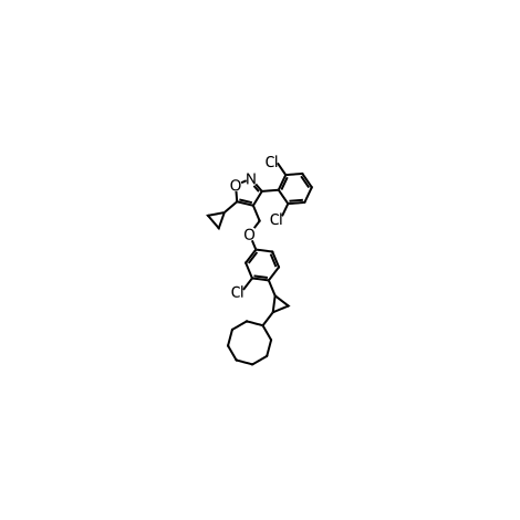 Clc1cc(OCc2c(-c3c(Cl)cccc3Cl)noc2C2CC2)ccc1C1CC1C1CCCCCCC1